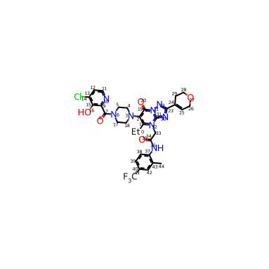 CCc1c(N2CCN(C(=O)c3nccc(Cl)c3O)CC2)c(=O)n2nc(C3=CCOCC3)nc2n1CC(=O)Nc1ccc(C(F)(F)F)cc1C